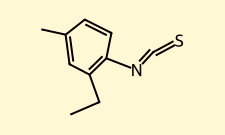 CCc1cc(C)ccc1N=C=S